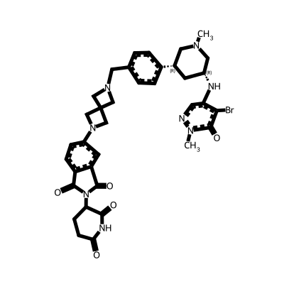 CN1C[C@H](Nc2cnn(C)c(=O)c2Br)C[C@H](c2ccc(CN3CC4(C3)CN(c3ccc5c(c3)C(=O)N(C3CCC(=O)NC3=O)C5=O)C4)cc2)C1